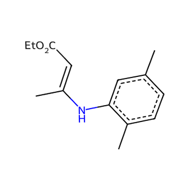 CCOC(=O)C=C(C)Nc1cc(C)ccc1C